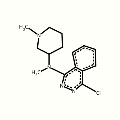 CN1CCCC(N(C)c2nnc(Cl)c3ccccc23)C1